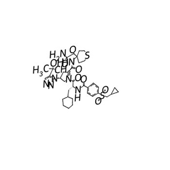 CC(C)(O)c1cnnn1[C@H]1C[C@@H](C(=O)NC2(C(=O)C(N)=O)CCSCC2)N(C(=O)[C@@H](CC2CCCCC2)NC(=O)c2ccc(S(=O)(=O)CC3CC3)cc2)C1